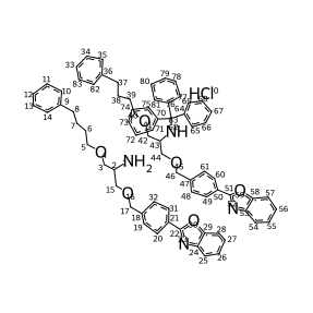 Cl.NC(COCCCCc1ccccc1)COCc1ccc(-c2nc3ccccc3o2)cc1.c1ccc(CCCCOCC(COCc2ccc(-c3nc4ccccc4o3)cc2)NC(c2ccccc2)(c2ccccc2)c2ccccc2)cc1